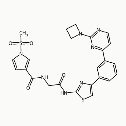 CS(=O)(=O)n1ccc(C(=O)NCC(=O)Nc2nc(-c3cccc(-c4ccnc(N5CCC5)n4)c3)cs2)c1